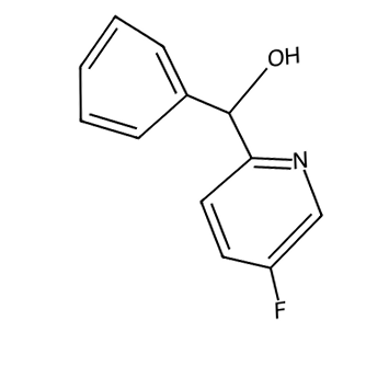 OC(c1ccccc1)c1ccc(F)cn1